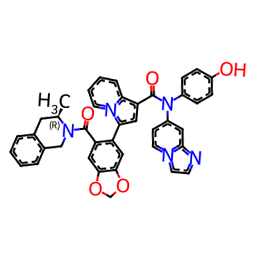 C[C@@H]1Cc2ccccc2CN1C(=O)c1cc2c(cc1-c1cc(C(=O)N(c3ccc(O)cc3)c3ccn4ccnc4c3)c3ccccn13)OCO2